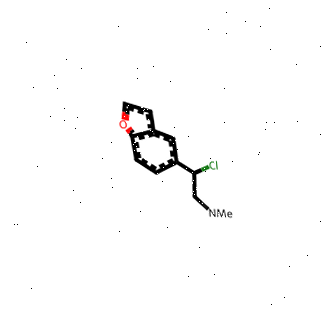 CNCC(Cl)c1ccc2occc2c1